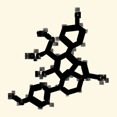 CCOc1cnc(N2CCn3c(C)cc4c(-c5ccc(Cl)cc5)c([C@H](OC(C)(C)C)C(=O)O)c(C)c2c43)nc1